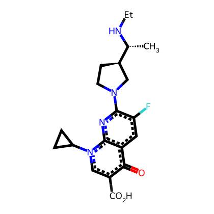 CCN[C@H](C)[C@@H]1CCN(c2nc3c(cc2F)c(=O)c(C(=O)O)cn3C2CC2)C1